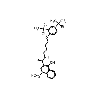 CCC(C)(C)c1ccc(OCCCCNC(=O)c2cc(SC#N)c3ccccc3c2O)c(C(C)(C)CC)c1